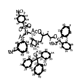 CC(=O)OC(CCO[Si](c1ccccc1)(c1ccccc1)C(C)(C)C)CN1[C@H](COC(c2ccccc2)(c2ccccc2)c2ccccc2)[C@H](c2ccc(Br)cc2)[C@@H]1CN(C(C)=O)S(=O)(=O)c1ccc([N+](=O)[O-])cc1